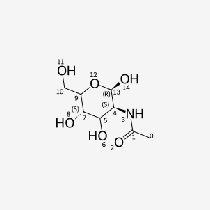 CC(=O)N[C@H]1C(O)[C@H](O)C(CO)O[C@H]1O